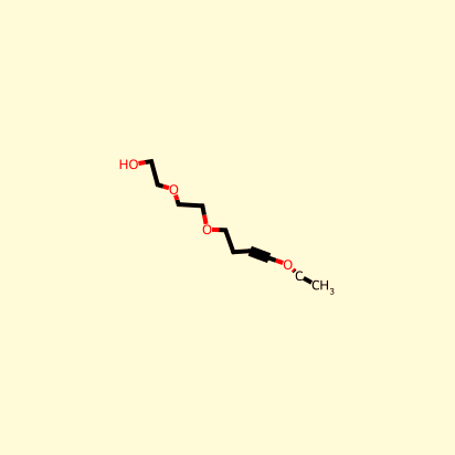 CCOC#CCCOCCOCCO